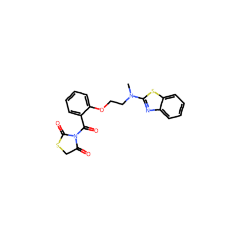 CN(CCOc1ccccc1C(=O)N1C(=O)CSC1=O)c1nc2ccccc2s1